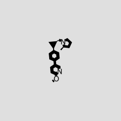 COc1ccc(-c2ccc([C@H]3C[C@@H]3CN3CCC[C@H]3C)cc2)cn1